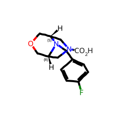 O=C(O)N1C[C@H]2COC[C@@H](C1)N2Cc1ccc(F)cc1